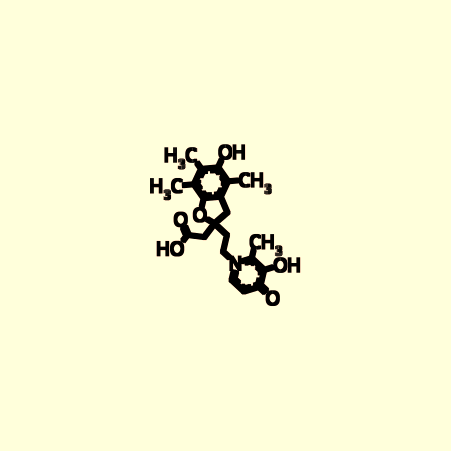 Cc1c(C)c2c(c(C)c1O)CC(CCn1ccc(=O)c(O)c1C)(CC(=O)O)O2